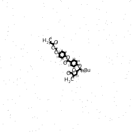 C=CC(=O)OCOc1ccc(OC(=O)c2ccc(OC(CCCC)C3CC(=C)C(=O)O3)cc2)cc1